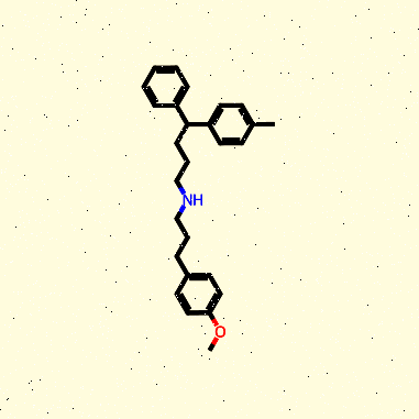 COc1ccc(CCCNCCCC(c2ccccc2)c2ccc(C)cc2)cc1